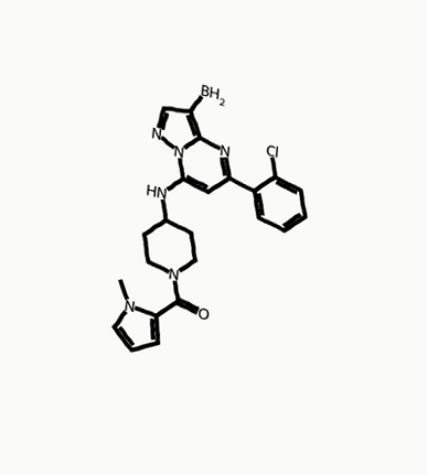 Bc1cnn2c(NC3CCN(C(=O)c4cccn4C)CC3)cc(-c3ccccc3Cl)nc12